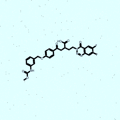 COC(=O)Nc1cccc(COc2ccc(C(=O)CC(CCn3nnc4cc(F)c(F)cc4c3=O)C(=O)O)cc2)c1